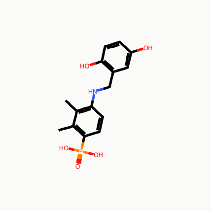 Cc1c(NCc2cc(O)ccc2O)ccc(P(=O)(O)O)c1C